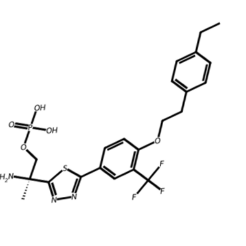 CCc1ccc(CCOc2ccc(-c3nnc([C@@](C)(N)COP(=O)(O)O)s3)cc2C(F)(F)F)cc1